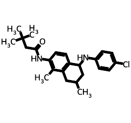 Cc1c(NC(=O)CC(C)(C)C)ccc2c1CC(C)CC2Nc1ccc(Cl)cc1